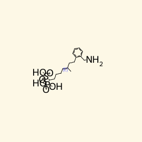 C/C(=C\CCCC(P(=O)(O)O)S(=O)(=O)O)CCc1ccccc1CN